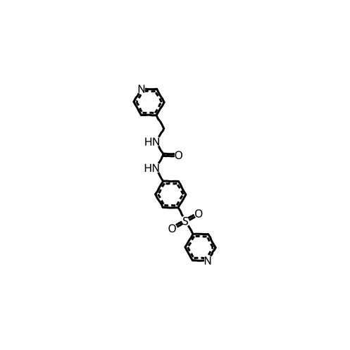 O=C(NCc1ccncc1)Nc1ccc(S(=O)(=O)c2ccncc2)cc1